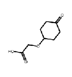 O=C(O)COC1CCC(=O)CC1